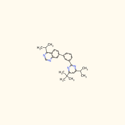 CC(C)c1cc(C(C)(C)C)nc(-c2cccc(-c3ccc4c(C(C)C)ncnc4c3)c2)n1